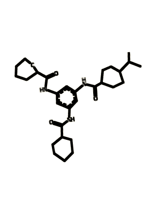 CC(C)C1CCC(C(=O)Nc2cc(NC(=O)C3CCCCC3)cc(NC(=O)C3CCCCC3)c2)CC1